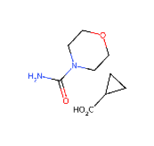 NC(=O)N1CCOCC1.O=C(O)C1CC1